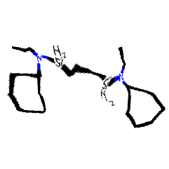 CCN([SiH2]CC[SiH2]N(CC)C1CCCCC1)C1CCCCC1